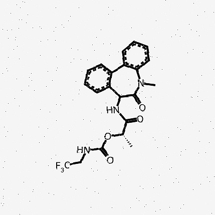 C[C@H](OC(=O)NCC(F)(F)F)C(=O)NC1C(=O)N(C)c2ccccc2-c2ccccc21